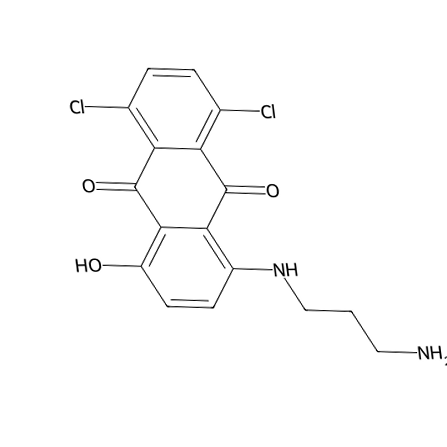 NCCCNc1ccc(O)c2c1C(=O)c1c(Cl)ccc(Cl)c1C2=O